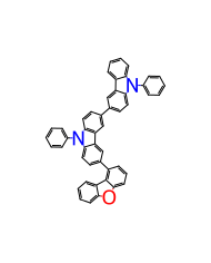 c1ccc(-n2c3ccccc3c3cc(-c4ccc5c(c4)c4cc(-c6cccc7oc8ccccc8c67)ccc4n5-c4ccccc4)ccc32)cc1